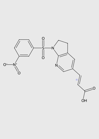 O=C(O)/C=C/c1cnc2c(c1)CCN2S(=O)(=O)c1cccc([N+](=O)[O-])c1